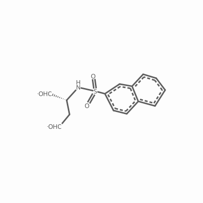 O=[C]C[C@H]([C]=O)NS(=O)(=O)c1ccc2ccccc2c1